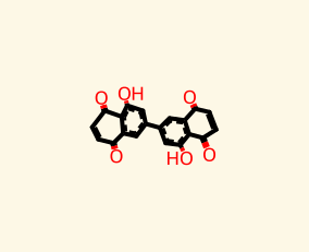 O=C1C=CC(=O)c2c(O)cc(-c3cc(O)c4c(c3)C(=O)C=CC4=O)cc21